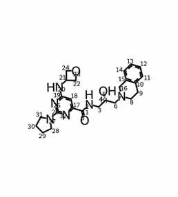 O=C(NC[C@H](O)CN1CCc2ccccc2C1)c1cc(NC2COC2)nc(N2CCCC2)n1